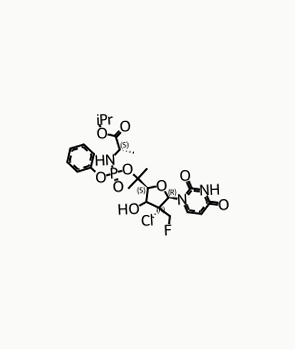 CC(C)OC(=O)[C@H](C)NP(=O)(Oc1ccccc1)OC(C)(C)[C@H]1O[C@@H](n2ccc(=O)[nH]c2=O)[C@@](Cl)(CF)C1O